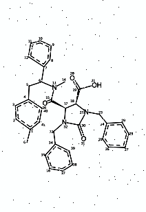 Cc1ccc(CC(c2ccccc2)N(C)C(=O)[C@H]2[C@@H](C(=O)O)N(Cc3ccccc3)C(=O)N2Cc2ccccc2)cc1